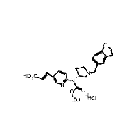 CC(C)(C)OC(=O)N(c1ccc(/C=C/C(=O)O)cn1)[C@@H]1CCN(Cc2ccc3occc3c2)C1.Cl.Cl